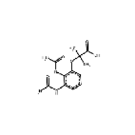 CC(C)(Oc1cccc(NC(N)=O)c1NC(N)=O)C(=O)O